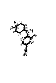 Cc1nc(C#N)cnc1NC1CCC(F)(F)CC1